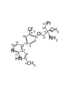 Cc1cc2c(-c3ccc(OC[C@@](C)(N)CC(C)C)c(C(F)(F)F)c3)ccnc2[nH]1